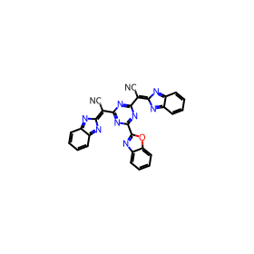 N#CC(=C1N=c2ccccc2=N1)c1nc(C(C#N)=C2N=c3ccccc3=N2)nc(-c2nc3ccccc3o2)n1